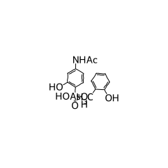 CC(=O)Nc1ccc([As](=O)(O)O)c(O)c1.Cc1ccccc1O